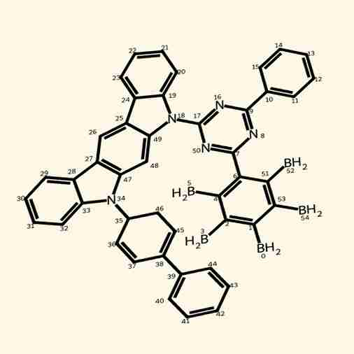 Bc1c(B)c(B)c(-c2nc(-c3ccccc3)nc(-n3c4ccccc4c4cc5c6ccccc6n(C6C=CC(c7ccccc7)=CC6)c5cc43)n2)c(B)c1B